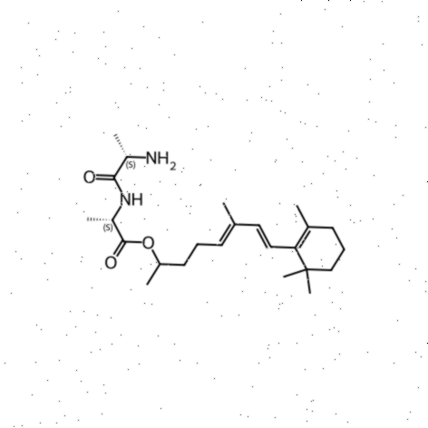 CC(C=CC1=C(C)CCCC1(C)C)=CCCC(C)OC(=O)[C@H](C)NC(=O)[C@H](C)N